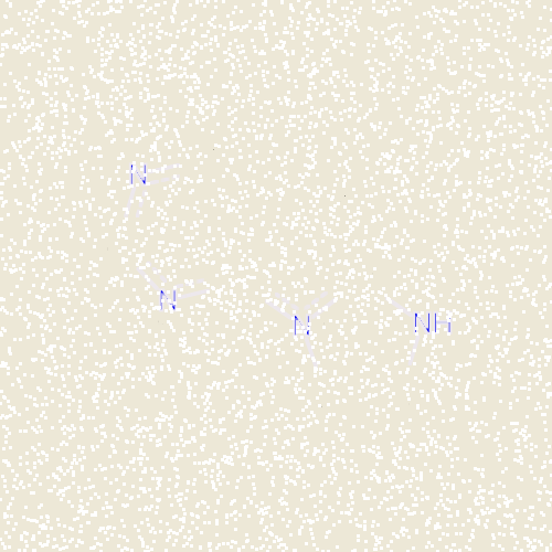 c1ncc2cc3n(c2n1)CCN3